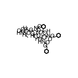 CCC1O[C@H](OC2O[C@H]3CC(C)[C@@H](O[C@@H]4C(NC(=O)OCc5ccccc5)C[C@@H](NC(=O)OCc5ccccc5)C(OC(=O)c5ccccc5)[C@H]4C)OC3C3OC(=O)N(C)C23)C(C)[C@H]2OC(=O)N[C@H]12